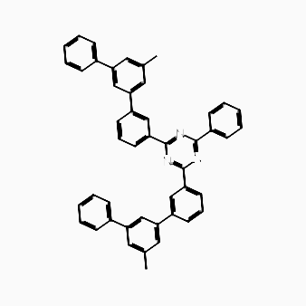 Cc1cc(-c2ccccc2)cc(-c2cccc(-c3nc(-c4ccccc4)nc(-c4cccc(-c5cc(C)cc(-c6ccccc6)c5)c4)n3)c2)c1